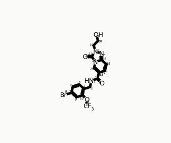 O=C(NCc1ccc(Br)cc1OC(F)(F)F)c1ccc2nn(CCO)c(=O)n2c1